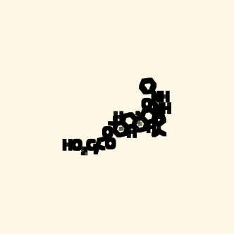 C=C(C)[C@@H]1CC[C@]2(NC(=O)Nc3ccccc3)CC[C@]3(C)[C@H](CC[C@@H]4[C@@]5(C)CC[C@H](OC(=O)CC(C)(C)C(=O)O)C(C)(C)[C@@H]5CC[C@]43C)[C@@H]12